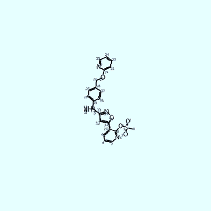 CS(=O)(=O)Oc1ncccc1-c1cc(Cc2ccc(COc3ccccn3)cc2)no1.N